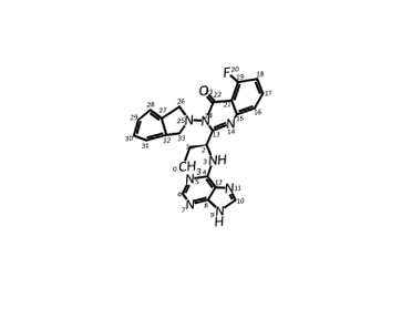 CC[C@H](Nc1ncnc2[nH]cnc12)c1nc2cccc(F)c2c(=O)n1N1Cc2ccccc2C1